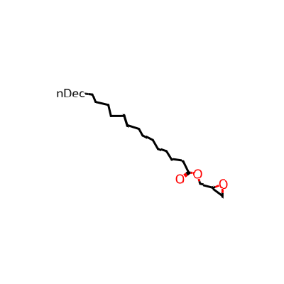 CCCCCCCCCCCCCCCCCCCCCCCC(=O)OCC1CO1